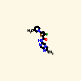 Cc1cn2cc(NC(=O)c3sc(N4CCCC(C)C4)cc3F)ncc2n1